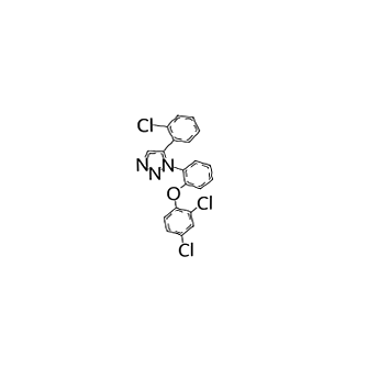 Clc1ccc(Oc2ccccc2-n2nncc2-c2ccccc2Cl)c(Cl)c1